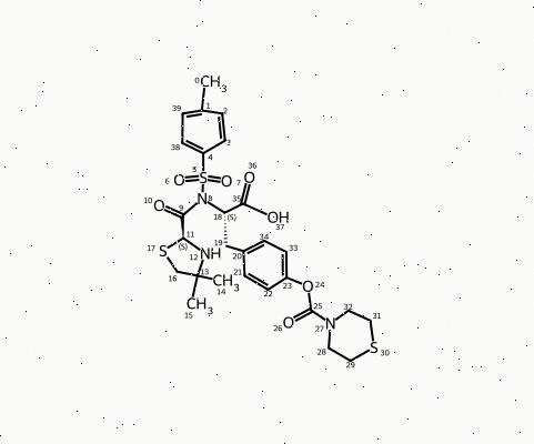 Cc1ccc(S(=O)(=O)N(C(=O)[C@H]2NC(C)(C)CS2)[C@@H](Cc2ccc(OC(=O)N3CCSCC3)cc2)C(=O)O)cc1